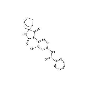 O=C(Nc1ccc(N2C(=O)NC3(CC4CCC3C4)C2=O)c(Cl)c1)c1ccccn1